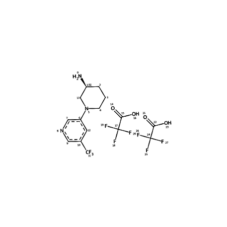 N[C@H]1CCCN(c2cncc(C(F)(F)F)c2)C1.O=C(O)C(F)(F)F.O=C(O)C(F)(F)F